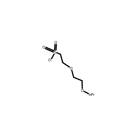 CCCOCCOCCS(=O)(=O)Cl